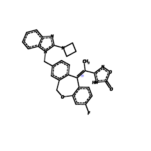 C/C(=C1\c2ccc(Cn3c(N4CCC4)nc4ccccc43)cc2COc2cc(F)ccc21)c1noc(=O)[nH]1